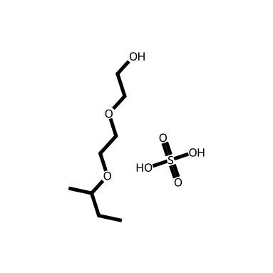 CCC(C)OCCOCCO.O=S(=O)(O)O